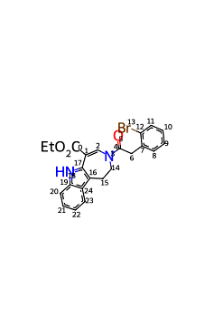 CCOC(=O)C1=CN(C(=O)Cc2ccccc2Br)CCc2c1[nH]c1ccccc21